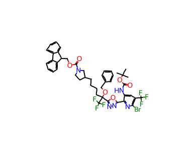 CC(C)(C)OC(=O)Nc1cc(C(F)(F)F)c(Br)nc1-c1nnc(C(CCCCC2CCN(C(=O)OCC3c4ccccc4-c4ccccc43)C2)(OCc2ccccc2)C(F)(F)F)o1